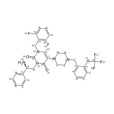 Cc1c(N2CCN(Cc3ccccc3OC(F)(F)F)CC2)c(=O)n(C[C@H](N)c2ccccc2)c(=O)n1Cc1c(F)cccc1F